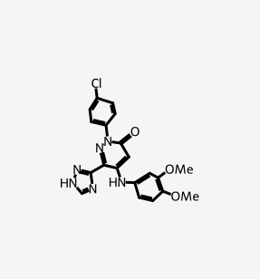 COc1ccc(Nc2cc(=O)n(-c3ccc(Cl)cc3)nc2-c2nc[nH]n2)cc1OC